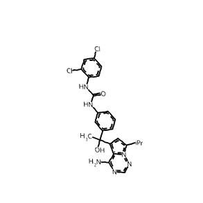 CC(C)c1cc(C(C)(O)c2cccc(NC(=O)Nc3ccc(Cl)cc3Cl)c2)c2c(N)ncnn12